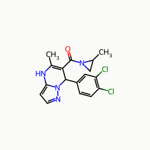 CC1=C(C(=O)N2CC2C)C(c2ccc(Cl)c(Cl)c2)n2nccc2N1